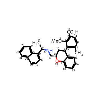 COc1c(C(=O)O)ccc(C)c1[C@@H]1C[C@H](CN[C@H](C)c2cccc3ccccc23)Oc2ccccc21